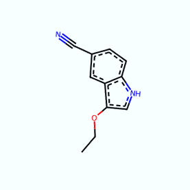 CCOc1c[nH]c2ccc(C#N)cc12